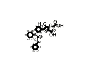 Cc1c(-c2cccc(N(C(=O)OCc3ccccc3)C3CCCCC3)c2)sc(C(=O)O)c1OCC(=O)O